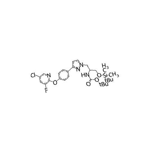 CC(C)(C)OC(=O)NC(CO[Si](C)(C)C(C)(C)C)Cn1ccc(-c2ccc(Oc3ncc(Cl)cc3F)cc2)n1